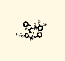 CO[C@@H]1C[C@@H](C(=O)NCc2cccnc2)N(C(=O)[C@@H](O)[C@H](Cc2ccccc2)NC(=O)c2cccc(O)c2C)C1